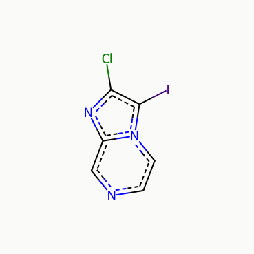 Clc1nc2cnccn2c1I